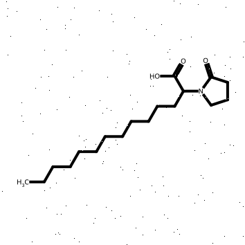 CCCCCCCCCCCCC(C(=O)O)N1CCCC1=O